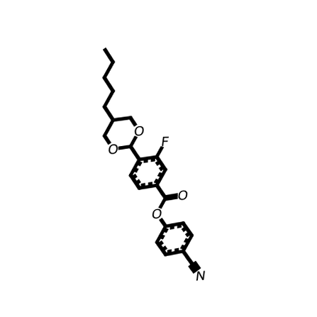 CCCCCC1COC(c2ccc(C(=O)Oc3ccc(C#N)cc3)cc2F)OC1